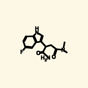 CN(C)C(=O)CC(C(N)=O)c1c[nH]c2ccc(F)cc12